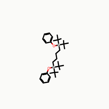 CC(C)(C)[Si](CCCC[Si](Oc1ccccc1)(C(C)(C)C)C(C)(C)C)(Oc1ccccc1)C(C)(C)C